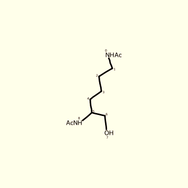 CC(=O)NCCCCC(CO)NC(C)=O